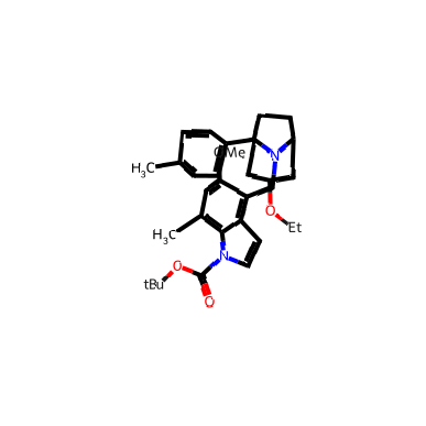 CCOC1CC2CCC(c3ccc(C)cc3)(C1)N2Cc1c(OC)cc(C)c2c1ccn2C(=O)OC(C)(C)C